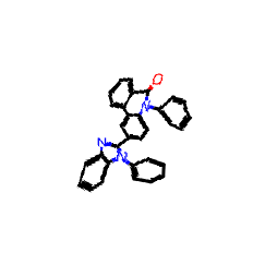 O=c1c2ccccc2c2cc(-c3nc4ccccc4n3-c3ccccc3)ccc2n1-c1ccccc1